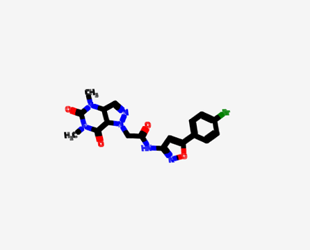 CN1C(=O)C2C(C=NN2CC(=O)Nc2cc(-c3ccc(Br)cc3)on2)N(C)C1=O